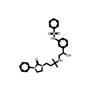 CC(C)(CCN1CCN(c2ccccc2)C1=O)NCC(O)c1cccc(NS(=O)(=O)c2ccccc2)c1